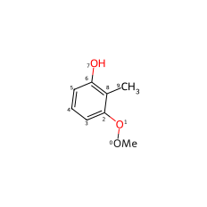 COOc1cccc(O)c1C